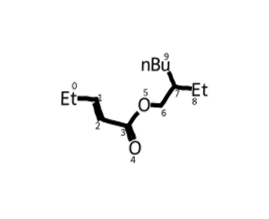 CCC=CC(=O)OCC(CC)CCCC